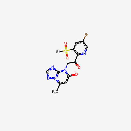 CCS(=O)(=O)c1cc(Br)cnc1C(=O)Cn1c(=O)cc(C(F)(F)F)n2ncnc12